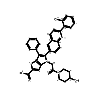 O=C(O)c1cc2c(s1)c(-c1ccccc1)c(-c1ccc3nc(-c4ccccc4Cl)ccc3c1)n2CC(=O)N1CCC(O)CC1